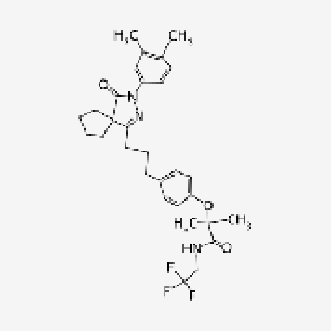 Cc1ccc(N2N=C(CCCc3ccc(OC(C)(C)C(=O)NCC(F)(F)F)cc3)C3(CCCC3)C2=O)cc1C